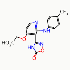 O=C(O)COc1ccnc(Nc2ccc(C(F)(F)F)cc2)c1-c1noc(=O)[nH]1